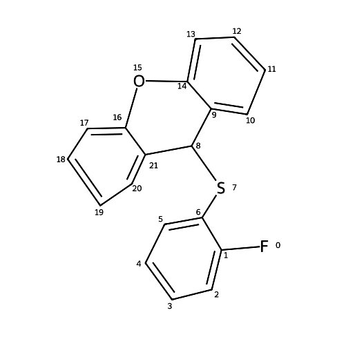 Fc1ccccc1SC1c2ccccc2Oc2ccccc21